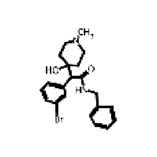 CN1CCC(O)(C(C(=O)NCc2ccccc2)c2cccc(Br)c2)CC1